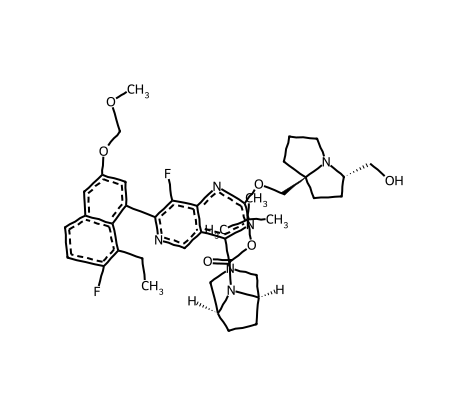 CCc1c(F)ccc2cc(OCOC)cc(-c3ncc4c(N5C[C@H]6CC[C@@H](C5)N6C(=O)OC(C)(C)C)nc(OC[C@@]56CCCN5[C@H](CO)CC6)nc4c3F)c12